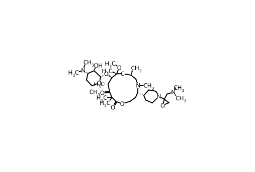 CO[C@]1(C)C[C@@H](C)CN(C)[C@H](C2CCN(C3(CN(C)C)CO3)CC2)CCOC(=O)C(C)(C)C(=O)[C@H](C)[C@H]1O[C@@H]1O[C@H](C)C[C@H](N(C)C)[C@H]1O